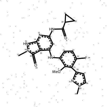 COc1c(Nc2cc(NC(=O)C3CC3)nc3[nH]n(C)c(=O)c23)ccc(F)c1-c1ccn(C)n1